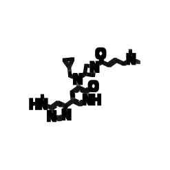 CNc1cc(-c2c[nH]c(=O)c(N(CC3CC3)C3CN(C(=O)C=CCN(C)C)C3)c2)ncn1